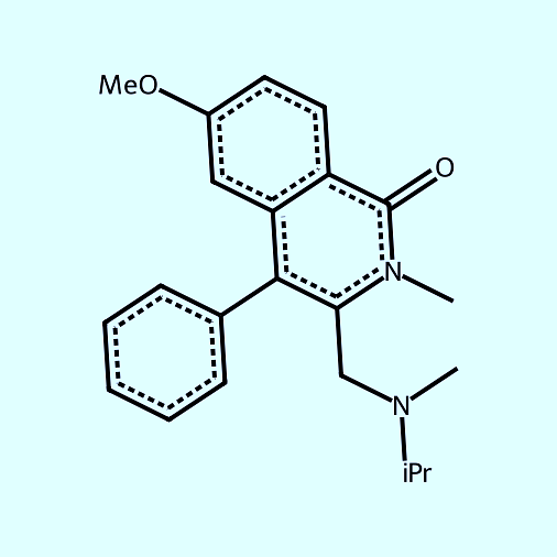 COc1ccc2c(=O)n(C)c(CN(C)C(C)C)c(-c3ccccc3)c2c1